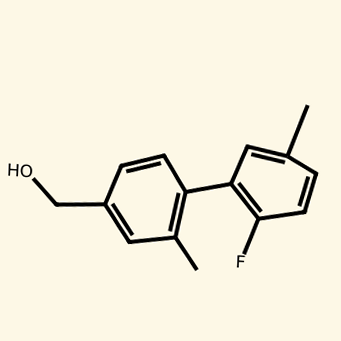 Cc1ccc(F)c(-c2ccc(CO)cc2C)c1